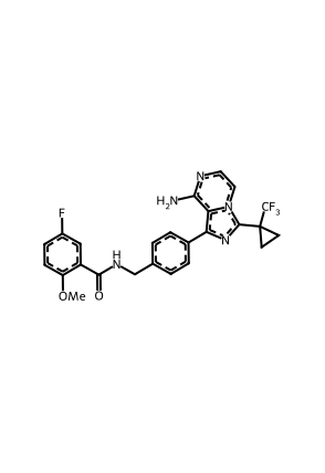 COc1ccc(F)cc1C(=O)NCc1ccc(-c2nc(C3(C(F)(F)F)CC3)n3ccnc(N)c23)cc1